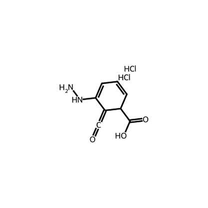 Cl.Cl.NNC1=CC=CC(C(=O)O)C1=C=O